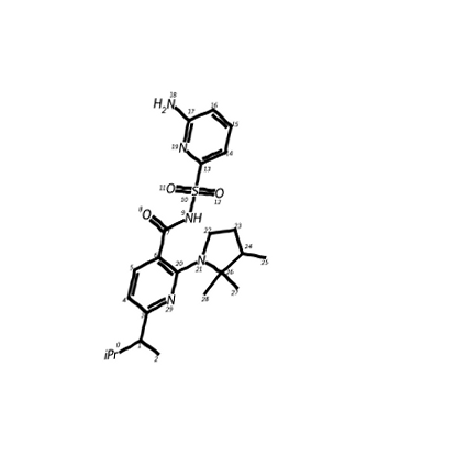 CC(C)C(C)c1ccc(C(=O)NS(=O)(=O)c2cccc(N)n2)c(N2CCC(C)C2(C)C)n1